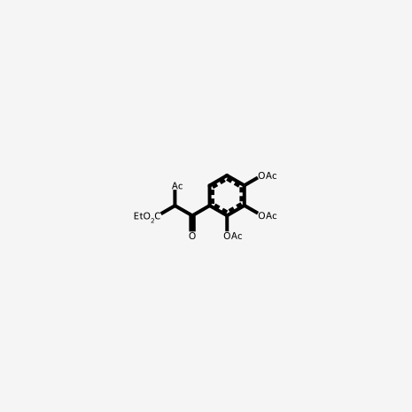 CCOC(=O)C(C(C)=O)C(=O)c1ccc(OC(C)=O)c(OC(C)=O)c1OC(C)=O